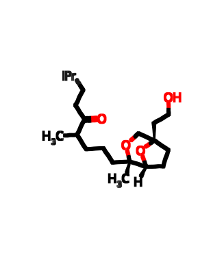 CC(C)CCC(=O)C(C)CCC[C@]1(C)OC[C@]2(CCO)CC[C@H]1O2